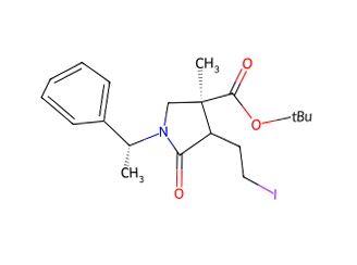 C[C@H](c1ccccc1)N1C[C@@](C)(C(=O)OC(C)(C)C)C(CCI)C1=O